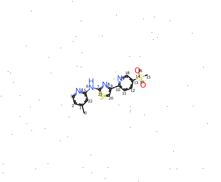 Cc1ccnc(Nc2nc(-c3ccc(S(C)(=O)=O)cn3)cs2)c1